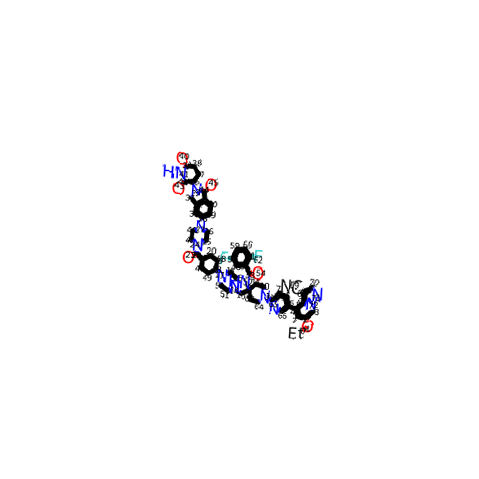 CCOc1cc(-c2ccc(N3CCC(CN4CCN(C5CCC(C(=O)N6CCN(c7ccc8c(c7)CN(C7CCC(=O)NC7=O)C8=O)CC6)CC5)CC4)(NC(=O)c4cc(F)ccc4F)CC3)nc2)c2c(C#N)cnn2c1